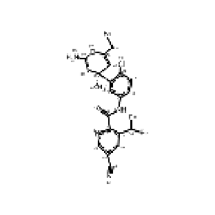 C[C@@]1(c2cc(NC(=O)c3ncc(C#N)cc3C(F)F)ccc2Cl)C=C(CF)OC(N)=N1